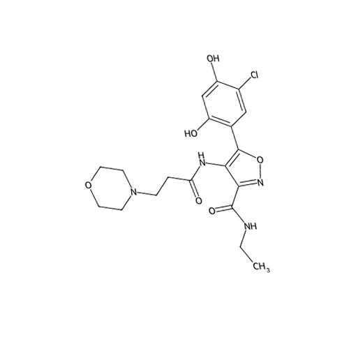 CCNC(=O)c1noc(-c2cc(Cl)c(O)cc2O)c1NC(=O)CCN1CCOCC1